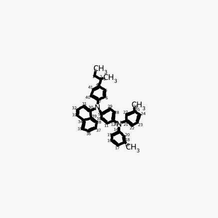 CCC(C)c1ccc(N(c2ccc(N(c3cccc(C)c3)c3cccc(C)c3)cc2)c2cccc3ccccc23)cc1